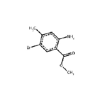 COC(=O)c1cc(Br)c(C)cc1N